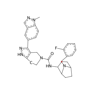 Cn1ncc2cc(-c3n[nH]c4c3CN(C(=O)NC3CCC5CCC3N5Cc3ccccc3F)CC4)ccc21